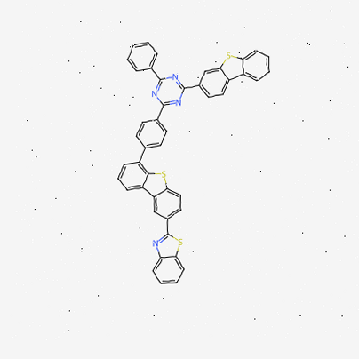 c1ccc(-c2nc(-c3ccc(-c4cccc5c4sc4ccc(-c6nc7ccccc7s6)cc45)cc3)nc(-c3ccc4c(c3)sc3ccccc34)n2)cc1